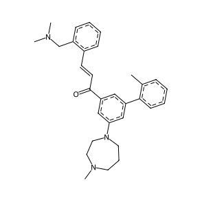 Cc1ccccc1-c1cc(C(=O)C=Cc2ccccc2CN(C)C)cc(N2CCCN(C)CC2)c1